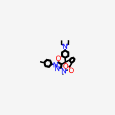 CCN(CC)c1ccc2c(c1)Oc1c(c(N(C)C)nn1-c1ccc(C)cc1)C21OC(=O)c2ccccc21